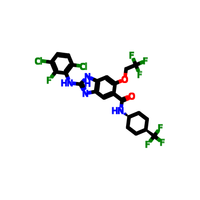 O=C(N[C@H]1CC[C@H](C(F)(F)F)CC1)c1cc2nc(Nc3c(Cl)ccc(Cl)c3F)[nH]c2cc1OCC(F)(F)F